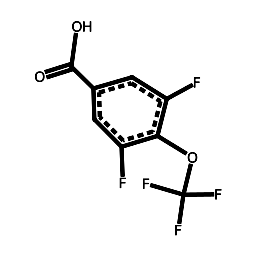 O=C(O)c1cc(F)c(OC(F)(F)F)c(F)c1